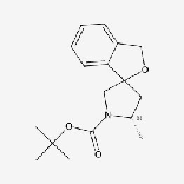 C[C@H]1CC2(CN1C(=O)OC(C)(C)C)OCc1ccccc12